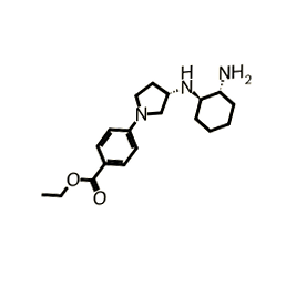 CCOC(=O)c1ccc(N2CC[C@H](N[C@@H]3CCCC[C@H]3N)C2)cc1